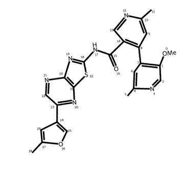 COc1cnc(C)cc1-c1cc(C)ncc1C(=O)Nc1nc2ncc(-c3coc(C)c3)nc2s1